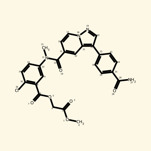 COC(=O)COC(=O)c1cc(N(C)C(=O)c2ccn3ncc(-c4ccc(C(N)=O)cc4)c3c2)ccc1Cl